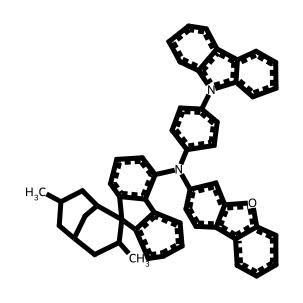 CC1CC2CC(C)C3(c4ccccc4-c4c(N(c5ccc(-n6c7ccccc7c7ccccc76)cc5)c5ccc6c(c5)oc5ccccc56)cccc43)C(C1)C2